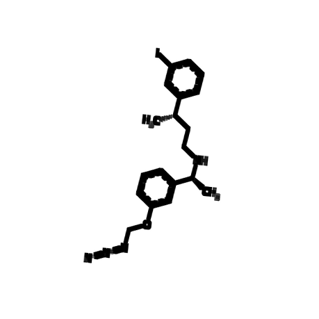 C[C@H](NCC[C@H](C)c1cccc(I)c1)c1cccc(OCN=[N+]=[N-])c1